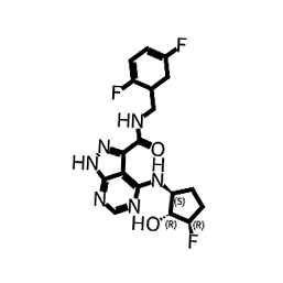 O=C(NCC1CC(F)=CC=C1F)c1n[nH]c2ncnc(N[C@H]3CC[C@@H](F)[C@@H]3O)c12